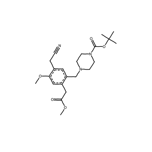 COC(=O)Cc1cc(OC)c(CC#N)cc1CN1CCN(C(=O)OC(C)(C)C)CC1